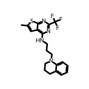 Cc1cc2c(NCCCN3CCCc4ccccc43)nc(C(F)(F)F)nc2s1